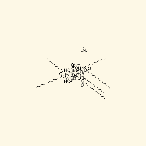 CCCCCCCCCCCCCC(=O)O[C@H](CCCCCCCCCCC)CC(=O)N[C@H](CO)CO[C@H]1O[C@H](CO)[C@@H](OP(=O)(O)O)[C@H](OC(=O)C[C@@H](CCCCCCCCCCC)OC(=O)CCCCCCCCCCCCC)[C@@H]1NC(=O)C[C@@H](CCCCCCCCCCC)OC(=O)CCCCCCCCCCCCC.CCN(CC)CC